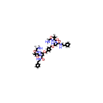 CN[C@@H](C)C(=O)NC(C(=O)N1C[C@@H](OCc2ccc(CO[C@H]3C[C@@H](C(=O)NCCc4ccccc4)N(C(=O)[C@@H](NC(=O)[C@H](C)NC)C(C)(C)C)C3)cc2)C[C@H]1C(=O)NCCc1ccccc1)C(C)(C)C